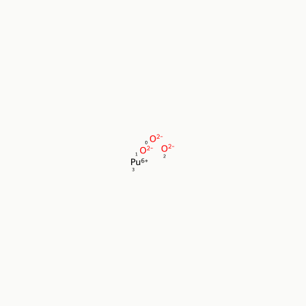 [O-2].[O-2].[O-2].[Pu+6]